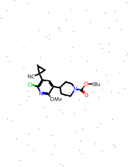 COc1nc(Cl)c(C2(C#N)CC2)cc1C1CCN(C(=O)OC(C)(C)C)CC1